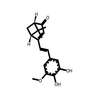 COc1cc(/C=C/C2=CC(=O)[C@H]3C[C@@H]2C3(C)C)cc(O)c1O